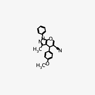 COc1ccc(C2C(C#N)=COc3c2c(C)nn3-c2ccccc2)cc1